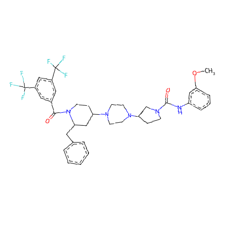 COc1cccc(NC(=O)N2CCC(N3CCN(C4CCN(C(=O)c5cc(C(F)(F)F)cc(C(F)(F)F)c5)C(Cc5ccccc5)C4)CC3)C2)c1